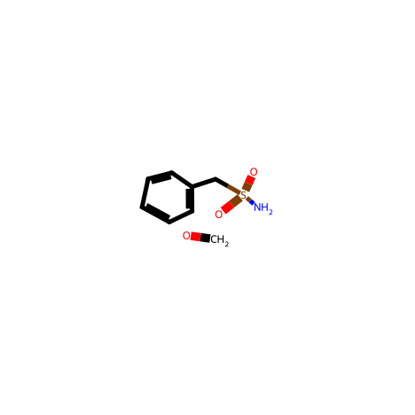 C=O.NS(=O)(=O)Cc1ccccc1